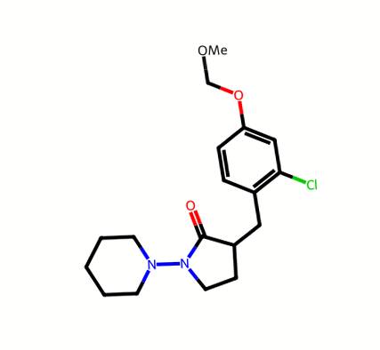 COCOc1ccc(CC2CCN(N3CCCCC3)C2=O)c(Cl)c1